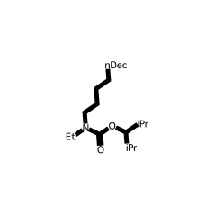 CCCCCCCCCCCCCCN(CC)C(=O)OC(C(C)C)C(C)C